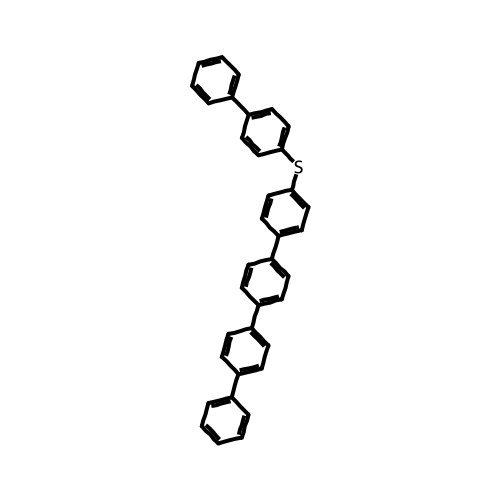 c1ccc(-c2ccc(Sc3ccc(-c4ccc(-c5ccc(-c6ccccc6)cc5)cc4)cc3)cc2)cc1